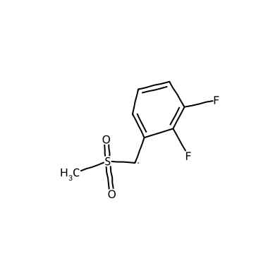 CS(=O)(=O)[CH]c1cccc(F)c1F